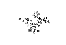 CCCCOP(=O)(O)C[C@H](NC(=O)c1cc(N(C)C)nc(-c2ccccc2)n1)C(=O)N1CCN(OC(=O)O)CC1